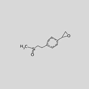 C[Si](=O)CCc1ccc(C2CO2)cc1